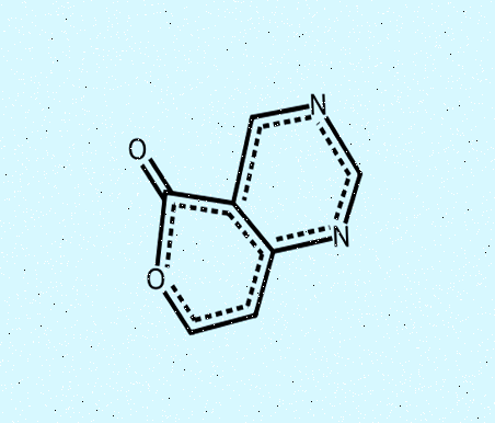 O=c1occc2ncncc12